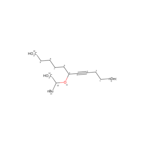 CCCCCCCCCCCCC#CC(CCCCC(=O)O)OC(CCCC)C(=O)O